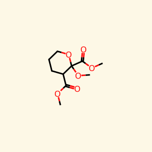 COC(=O)C1CCCOC1(OC)C(=O)OC